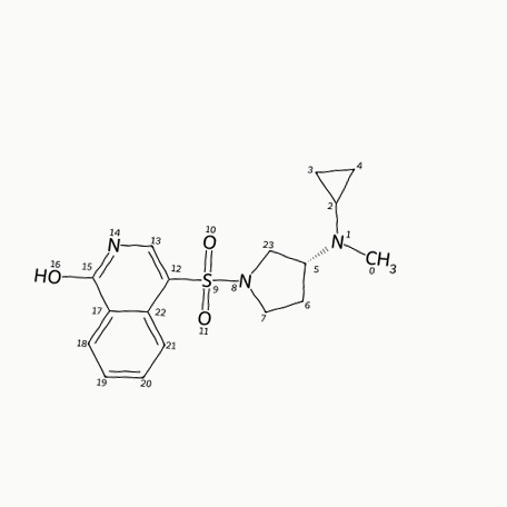 CN(C1CC1)[C@@H]1CCN(S(=O)(=O)c2cnc(O)c3ccccc23)C1